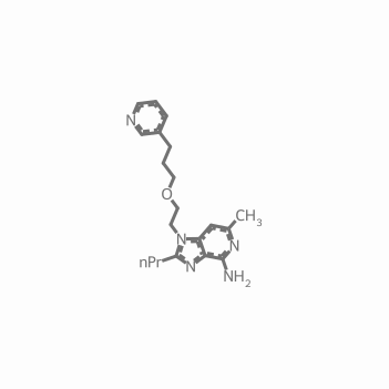 CCCc1nc2c(N)nc(C)cc2n1CCOCCCc1cccnc1